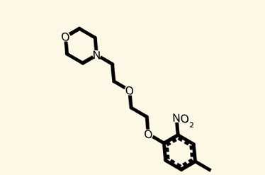 Cc1ccc(OCCOCCN2CCOCC2)c([N+](=O)[O-])c1